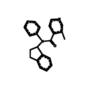 Cc1cnccc1C(=O)N(c1ccccc1)C1CCc2ccccc21